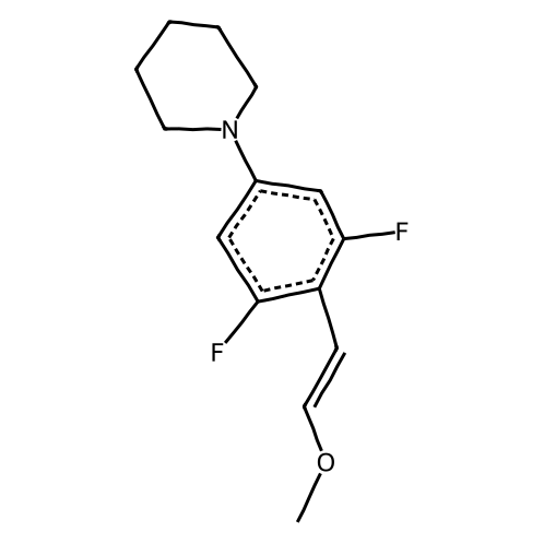 COC=Cc1c(F)cc(N2CCCCC2)cc1F